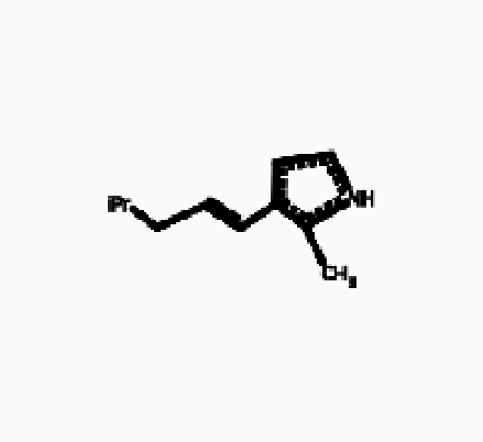 Cc1[nH]ccc1/C=C/CC(C)C